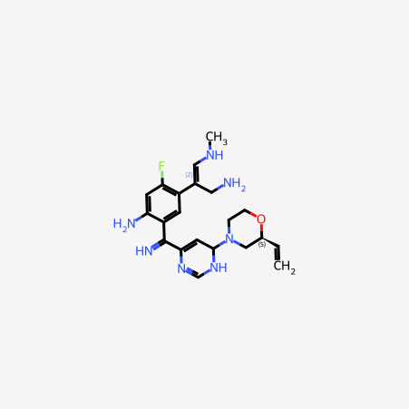 C=C[C@H]1CN(C2C=C(C(=N)c3cc(/C(=C/NC)CN)c(F)cc3N)N=CN2)CCO1